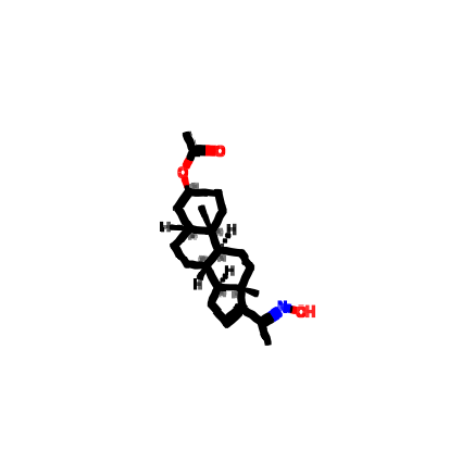 CC(=O)O[C@H]1CC[C@@]2(C)[C@H](CC[C@@H]3[C@@H]2CC[C@]2(C)C(C(C)=NO)=CC[C@@H]32)C1